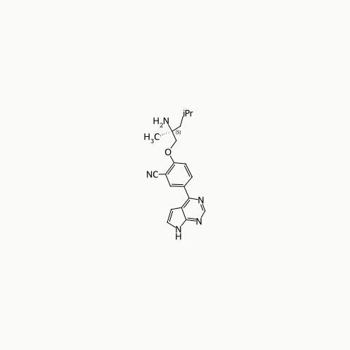 CC(C)C[C@](C)(N)COc1ccc(-c2ncnc3[nH]ccc23)cc1C#N